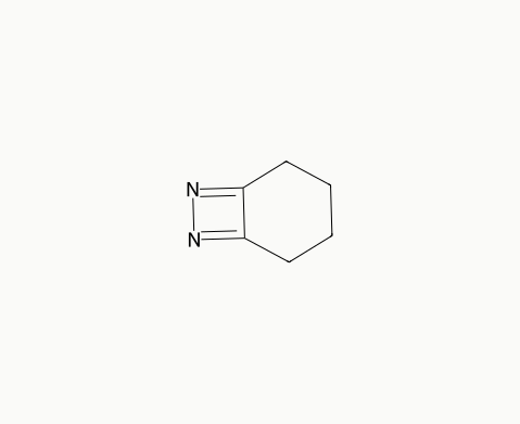 C1CCC2=NN=C2C1